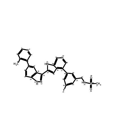 Cc1ccncc1-c1ccc2[nH]nc(-c3cc4c(-c5cc(F)cc(CNS(C)(=O)=O)c5)cncc4[nH]3)c2c1